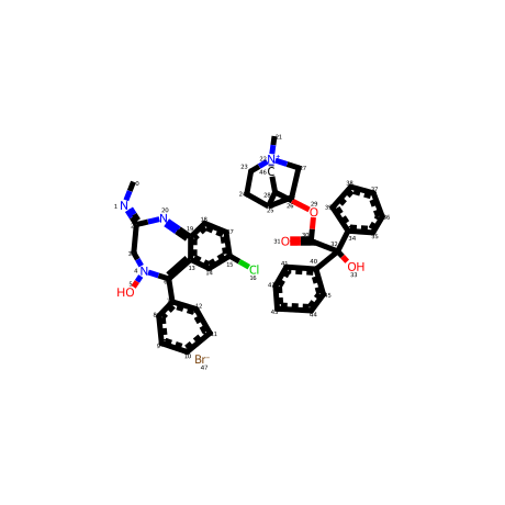 CN=C1CN(O)C(c2ccccc2)=c2cc(Cl)ccc2=N1.C[N+]12CCC(CC1)C(OC(=O)C(O)(c1ccccc1)c1ccccc1)C2.[Br-]